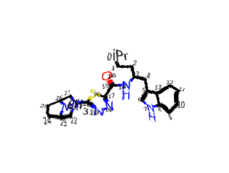 CC(C)CCC(Cc1c[nH]c2ccccc12)NC(=O)c1nnc(N2CC3CCC(C2)N3C)s1